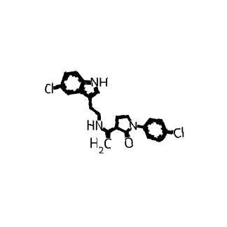 C=C(NCCc1c[nH]c2ccc(Cl)cc12)C1CCN(c2ccc(Cl)cc2)C1=O